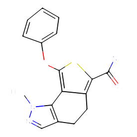 Cn1ncc2c1-c1c(Oc3ccccc3)sc(C(N)=O)c1CC2